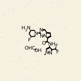 Cn1cc(NC(=O)c2ccc3cnc(N4C[C@@H](N)C[C@@H](F)C4)nn23)c(C(F)F)n1.O=CO